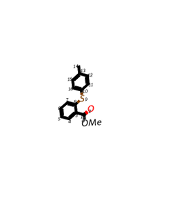 COC(=O)c1ccccc1Sc1ccc(C)cc1